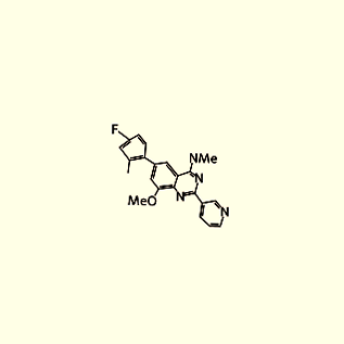 CNc1nc(-c2cccnc2)nc2c(OC)cc(-c3ccc(F)cc3C)cc12